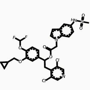 CS(=O)(=O)Nc1ccc2c(ccn2CC(=O)OC(Cc2c(Cl)cncc2Cl)c2ccc(OC(F)F)c(OCC3CC3)c2)c1